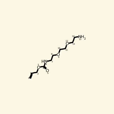 C=CCOC(=O)NCCOCCOCCN